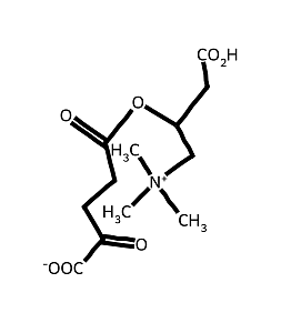 C[N+](C)(C)CC(CC(=O)O)OC(=O)CCC(=O)C(=O)[O-]